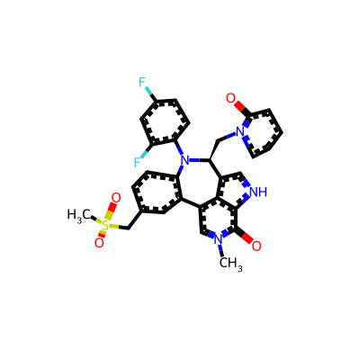 Cn1cc2c3c(c[nH]c3c1=O)[C@H](Cn1ccccc1=O)N(c1ccc(F)cc1F)c1ccc(CS(C)(=O)=O)cc1-2